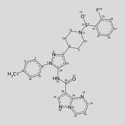 Cc1ccc(-n2nc(C3CCN([S+]([O-])c4ccccc4F)CC3)cc2NC(=O)c2cnn3cccnc23)cc1